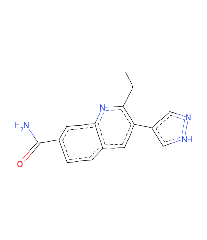 CCc1nc2cc(C(N)=O)ccc2cc1-c1cn[nH]c1